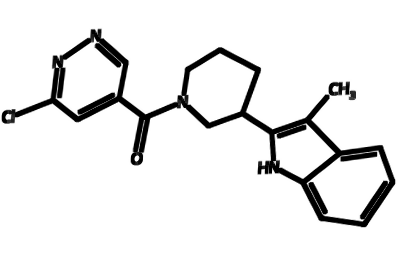 Cc1c(C2CCCN(C(=O)c3cnnc(Cl)c3)C2)[nH]c2ccccc12